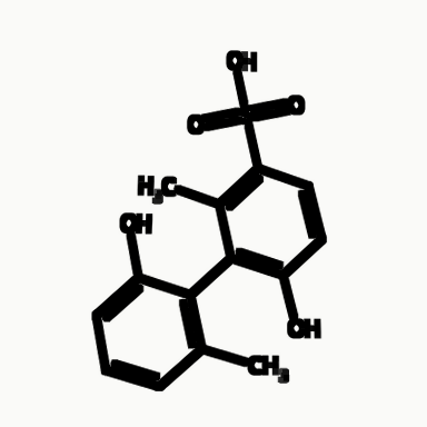 Cc1cccc(O)c1-c1c(O)ccc(S(=O)(=O)O)c1C